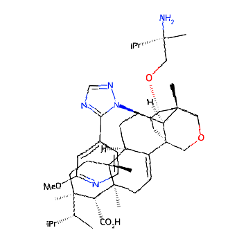 COc1cc(-c2ncnn2[C@@H]2C[C@@]34COC[C@](C)([C@@H]3CC[C@H]3C4=CC[C@@]4(C)[C@H](C(=O)O)[C@@](C)([C@H](C)C(C)C)CC[C@]34C)[C@H]2OC[C@](C)(N)C(C)C)ccn1